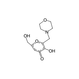 O=c1cc(CO)oc(CN2CCOCC2)c1O